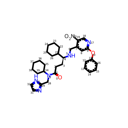 O=C(CC[C@H](NCc1cc(Oc2ccccc2)ncc1[N+](=O)[O-])C1CCCCC1)N(Cc1ncc[nH]1)C1CCCCC1